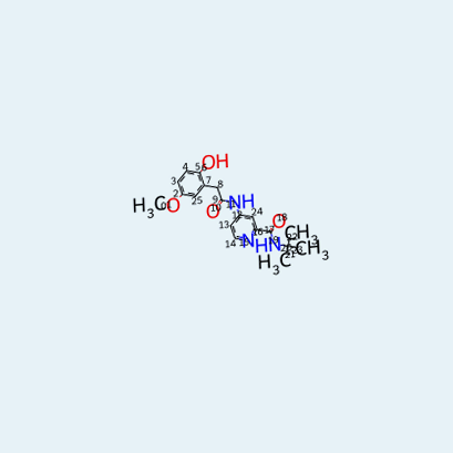 COc1ccc(O)c(CC(=O)Nc2ccnc(C(=O)NC(C)(C)C)c2)c1